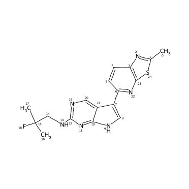 Cc1nc2ccc(-c3c[nH]c4nc(NCC(C)(C)F)ncc34)nc2s1